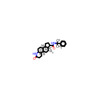 CC(NC(=O)C1CC[C@H]2[C@@H]3CCC4NC(=O)CC[C@]4(C)[C@@H]3CC[C@]12C)(c1ccccc1)C(F)(F)F